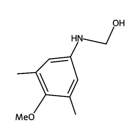 COc1c(C)cc(NCO)cc1C